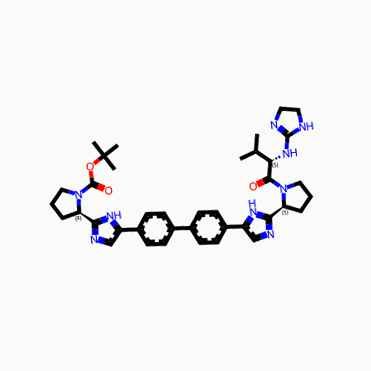 CC(C)[C@H](NC1=NCCN1)C(=O)N1CCC[C@H]1c1ncc(-c2ccc(-c3ccc(-c4cnc([C@H]5CCCN5C(=O)OC(C)(C)C)[nH]4)cc3)cc2)[nH]1